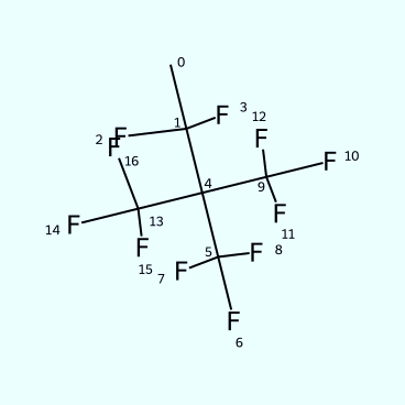 CC(F)(F)C(C(F)(F)F)(C(F)(F)F)C(F)(F)F